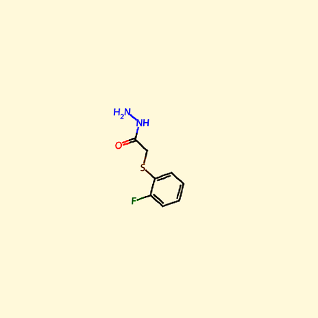 NNC(=O)CSc1ccccc1F